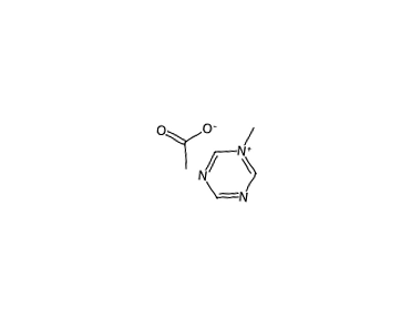 CC(=O)[O-].C[n+]1cncnc1